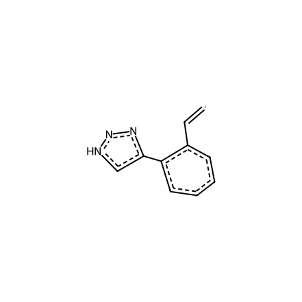 [CH]=Cc1ccccc1-c1c[nH]nn1